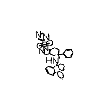 COc1ccccc1C(=O)NCC1(c2ccccc2)CCc2c(cnn2S(=O)(=O)c2cn(C)cn2)C1